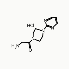 Cl.NCC(=O)N1CCN(c2ncccn2)CC1